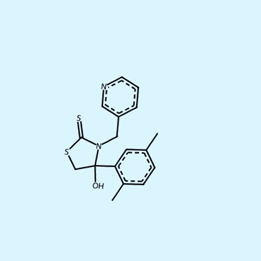 Cc1ccc(C)c(C2(O)CSC(=S)N2Cc2cccnc2)c1